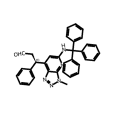 Cn1nnc2c([C@H](CC=O)c3ccccc3)cc(NC(c3ccccc3)(c3ccccc3)c3ccccc3)nc21